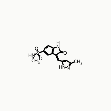 CNS(=O)(=O)c1ccc2c(c1)C(=Cc1cc(C)n[nH]1)C(=O)N2